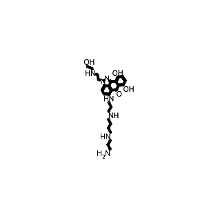 NCCCNCCCCNCCCNc1ccc2c3c(nn2CCNCCO)-c2c(O)ccc(O)c2C(=O)c13